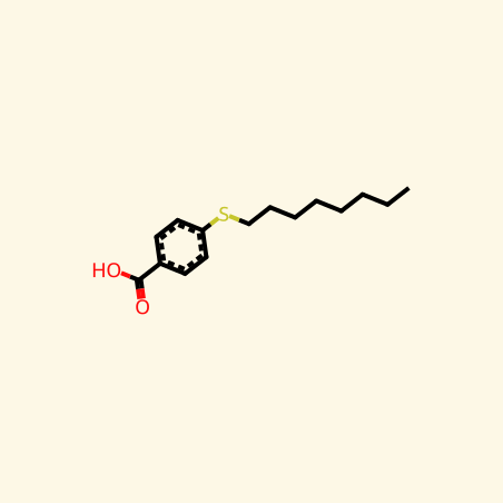 CCCCCCCCSc1ccc(C(=O)O)cc1